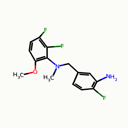 COc1ccc(F)c(F)c1N(C)Cc1ccc(F)c(N)c1